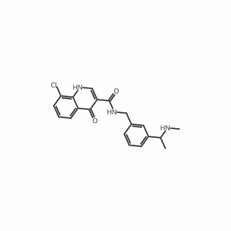 CNC(C)c1cccc(CNC(=O)c2c[nH]c3c(Cl)cccc3c2=O)c1